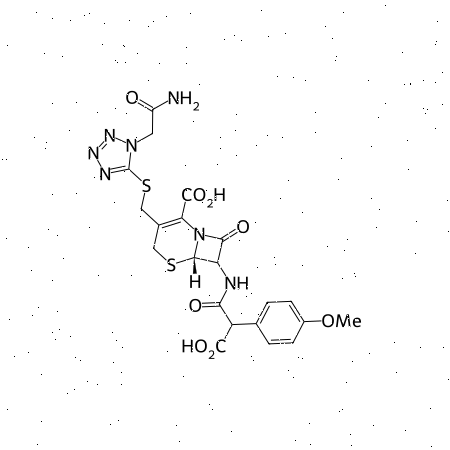 COc1ccc(C(C(=O)O)C(=O)NC2C(=O)N3C(C(=O)O)=C(CSc4nnnn4CC(N)=O)CS[C@@H]23)cc1